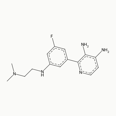 CN(C)CCNc1cc(F)cc(-c2nccc(N)c2N)c1